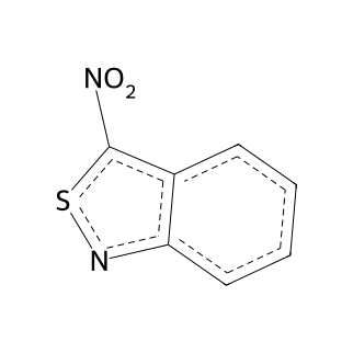 O=[N+]([O-])c1snc2ccccc12